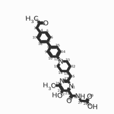 CC(=O)Cc1ccc(-c2ccc(N3CCC(Cc4nc(C)c(O)c(C(=O)NCC(=O)O)n4)CC3)cc2)cc1